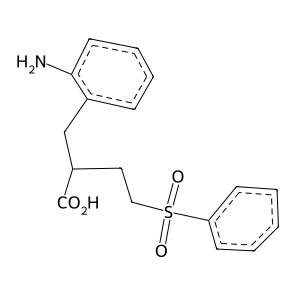 Nc1ccccc1CC(CCS(=O)(=O)c1ccccc1)C(=O)O